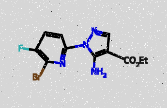 CCOC(=O)c1cnn(-c2ccc(F)c(Br)n2)c1N